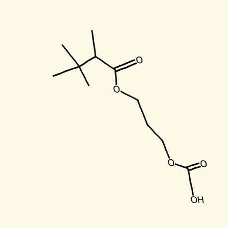 CC(C(=O)OCCCOC(=O)O)C(C)(C)C